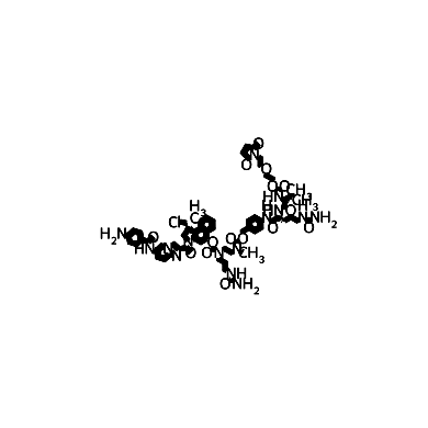 Cc1cccc2c(OC(=O)N(CCCNC(N)=O)CCN(C)C(=O)OCc3ccc(NC(=O)[C@H](CCCNC(N)=O)NC(=O)[C@@H](NC(=O)OCCOCCN4C(=O)C=CC4=O)C(C)C)cc3)cc3c(c12)[C@H](CCl)CN3C(=O)c1cn2cc(NC(=O)C3=CC=C(N)CC3)ccc2n1